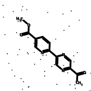 COC(=O)c1ccc(-c2cnc(C(C)=O)cn2)nc1